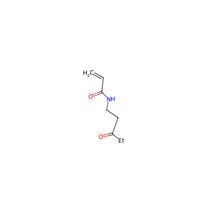 C=CC(=O)NCCC(=O)CC